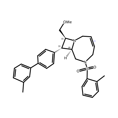 COC[C@@H]1[C@@H](c2ccc(-c3cccc(C)c3)cc2)[C@@H]2CN(S(=O)(=O)c3ccccc3C)C/C=C\CN12